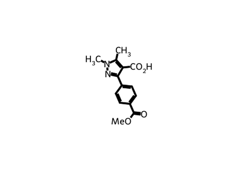 COC(=O)c1ccc(-c2nn(C)c(C)c2C(=O)O)cc1